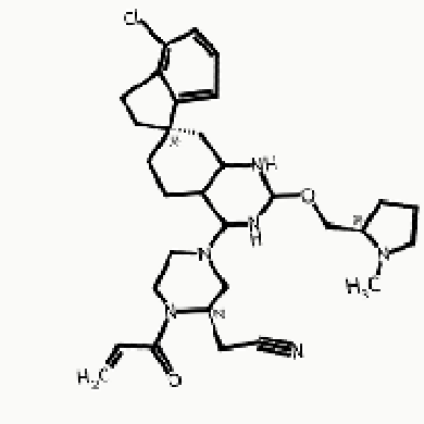 C=CC(=O)N1CCN(C2NC(OC[C@H]3CCCN3C)NC3C[C@@]4(CCc5c(Cl)cccc54)CCC32)C[C@H]1CC#N